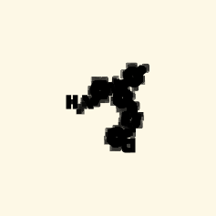 Cc1ccc(-c2cn(-c3cccc(CN)c3)c3ccc(CN4CCN(Cc5ccccc5Cl)CC4)cc23)cc1